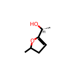 CC1CC=C([C@@H](C)O)O1